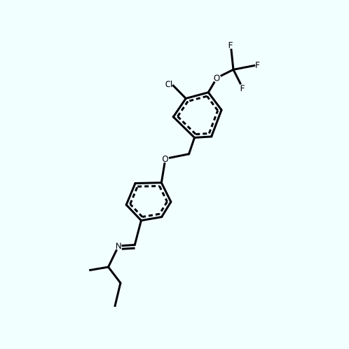 CCC(C)/N=C/c1ccc(OCc2ccc(OC(F)(F)F)c(Cl)c2)cc1